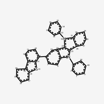 c1ccc(-n2c3ccc(-c4cccc5c4sc4ccccc45)cc3c3c2c2ccccc2n3-c2ccccc2)cc1